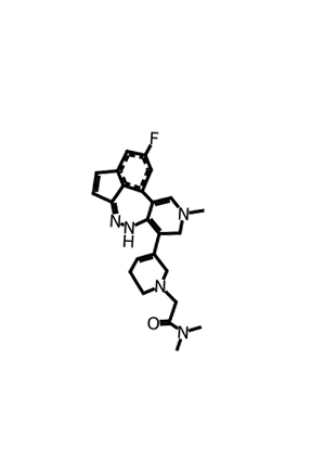 CN1C=C2C(=C(C3=CCCN(CC(=O)N(C)C)C3)C1)NN=C1C=Cc3cc(F)cc2c31